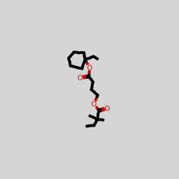 CCC1(OC(=O)CCCOC(=O)C(C)(C)CC)CCCCC1